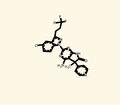 CC1(c2ccncc2)C(=O)Nc2nc(-n3nc(CCC(F)(F)F)c4cc(Cl)ccc43)nc(N)c21